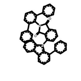 O=C1c2cccc(-n3c4ccccc4c4cccc(-c5ccccc5)c43)c2C(=O)N1c1c(-c2ccccc2)cccc1-c1ccccc1